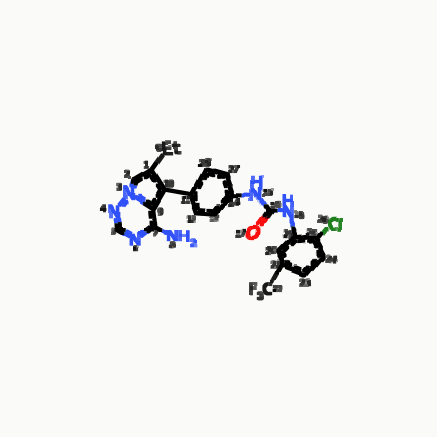 [CH2]Cc1cn2ncnc(N)c2c1-c1ccc(NC(=O)Nc2cc(C(F)(F)F)ccc2Cl)cc1